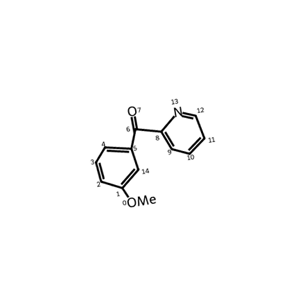 COc1cccc(C(=O)c2ccccn2)c1